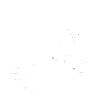 CC(=O)O[C@@]12CO[C@@H]1C[C@H](OC(=O)OCC(Cl)(Cl)Cl)[C@@]1(C)C(=O)[C@H](OC(=O)OCC(Cl)(Cl)Cl)C3=C(C)[C@@H](OC(=O)[C@@H]4OC(C)(C)N(C(=O)OC(C)(C)C)[C@@H]4c4ccccc4)C[C@@](O)([C@@H](OC(=O)c4ccccc4)C12)C3(C)C